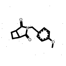 COc1ccc(CN2C(=O)C3CCC3C2=O)cc1